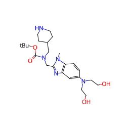 Cn1c(CN(CC2CCNCC2)C(=O)OC(C)(C)C)nc2cc(N(CCO)CCO)ccc21